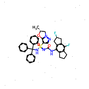 C[C@@H]1Cn2ncc(S(=O)(=NC(=O)Nc3c4c(c(F)c5c3C[C@@H](F)C5)CCC4)NC(c3ccccc3)(c3ccccc3)c3ccccc3)c2O1